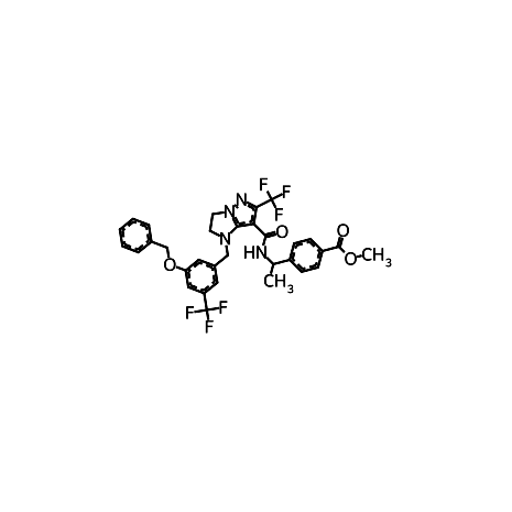 COC(=O)c1ccc(C(C)NC(=O)c2c(C(F)(F)F)nn3c2N(Cc2cc(OCc4ccccc4)cc(C(F)(F)F)c2)CC3)cc1